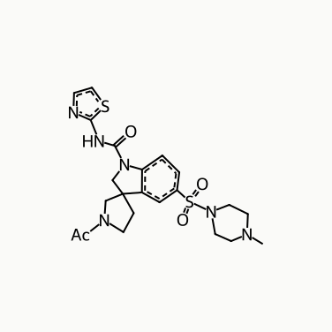 CC(=O)N1CCC2(C1)CN(C(=O)Nc1nccs1)c1ccc(S(=O)(=O)N3CCN(C)CC3)cc12